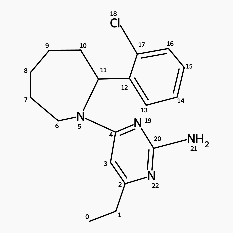 CCc1cc(N2CCCCCC2c2ccccc2Cl)nc(N)n1